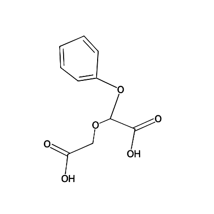 O=C(O)COC(Oc1ccccc1)C(=O)O